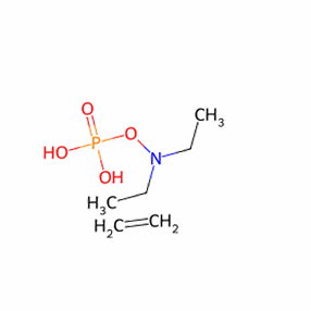 C=C.CCN(CC)OP(=O)(O)O